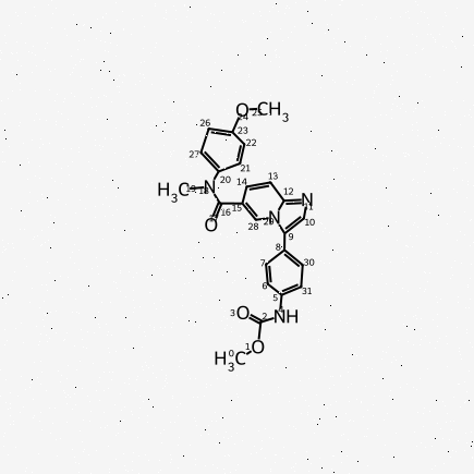 COC(=O)Nc1ccc(-c2cnc3ccc(C(=O)N(C)c4ccc(OC)cc4)cn23)cc1